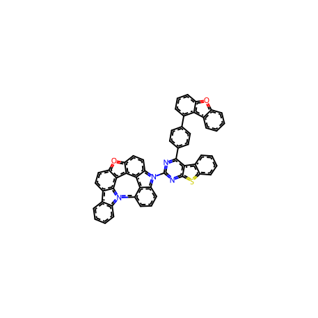 c1ccc2c(c1)oc1cccc(-c3ccc(-c4nc(-n5c6ccc7oc8ccc9c%10ccccc%10n%10c%11cccc5c%11c6c7c8c9%10)nc5sc6ccccc6c45)cc3)c12